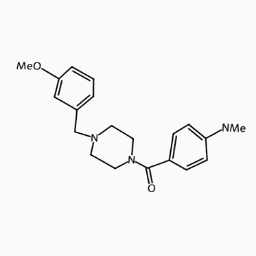 CNc1ccc(C(=O)N2CCN(Cc3cccc(OC)c3)CC2)cc1